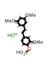 COc1cc(C=Cc2ccc(OC(=O)O)c(OC)c2)cc(OC)c1.Cl